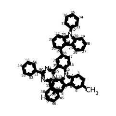 Cc1ccc2c(c1)c1cc(C)ccc1n2-c1ccc(-c2cccc3c2c2ccccc2n3-c2ccccc2)cc1-c1nc(-c2ccccc2)nc(-c2ccccc2)n1